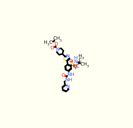 CC(C)OC(=O)N1CCC(c2ncc(-c3ccc(NC(=O)NCc4ccccn4)cc3S(=O)(=O)NC(C)(C)C)s2)CC1